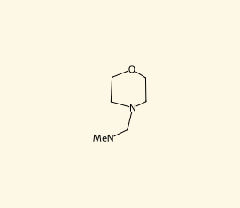 CNCN1CCOCC1